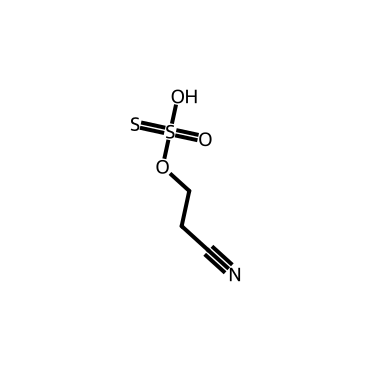 N#CCCOS(=O)(O)=S